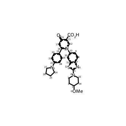 COC1CCN(c2nc3ccc(-n4cc(C(=O)O)c(=O)cc4-c4ccc(N5CCCC5)cc4)cc3s2)CC1